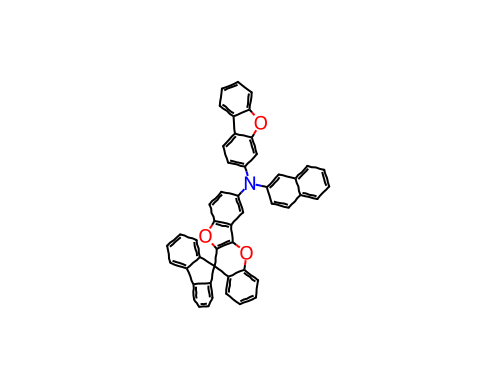 c1ccc2c(c1)Oc1c(oc3ccc(N(c4ccc5ccccc5c4)c4ccc5c(c4)oc4ccccc45)cc13)C21c2ccccc2-c2ccccc21